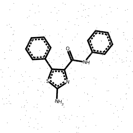 Nc1nc(C(=O)Nc2ccccc2)c(-c2ccccc2)s1